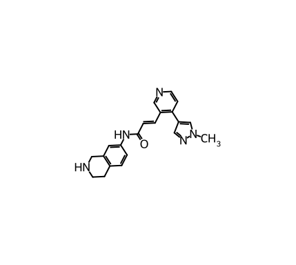 Cn1cc(-c2ccncc2C=CC(=O)Nc2ccc3c(c2)CNCC3)cn1